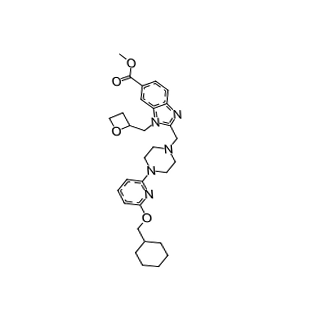 COC(=O)c1ccc2nc(CN3CCN(c4cccc(OCC5CCCCC5)n4)CC3)n(CC3CCO3)c2c1